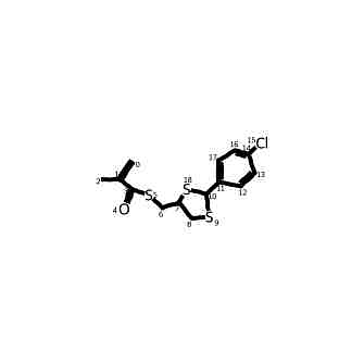 C=C(C)C(=O)SCC1CSC(c2ccc(Cl)cc2)S1